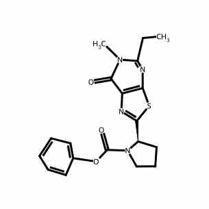 CCc1nc2sc([C@H]3CCCN3C(=O)Oc3ccccc3)nc2c(=O)n1C